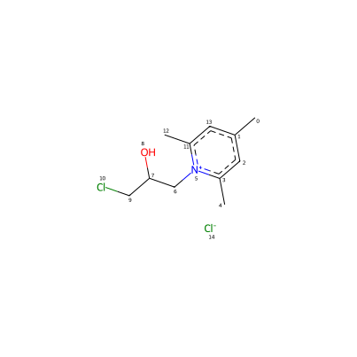 Cc1cc(C)[n+](CC(O)CCl)c(C)c1.[Cl-]